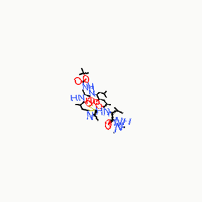 Cc1csc(CC(C)C(=O)NC(CNC(=O)OC(C)(C)C)C(=O)NC(CC(C)C)C(O)CC(C)C(=O)NC(C(=O)NN(C)C)C(C)C)n1